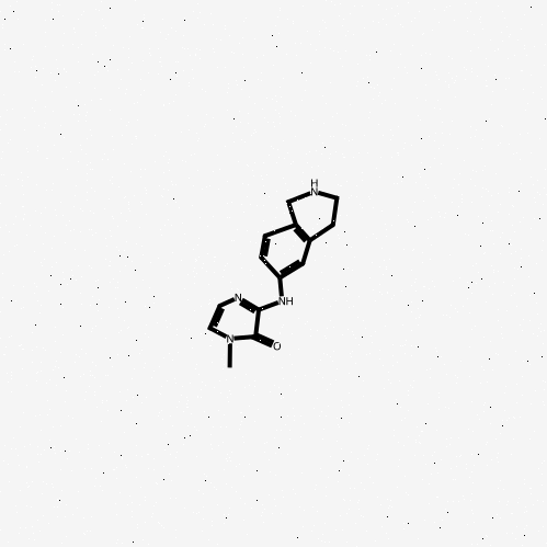 Cn1ccnc(Nc2ccc3c(c2)CCNC3)c1=O